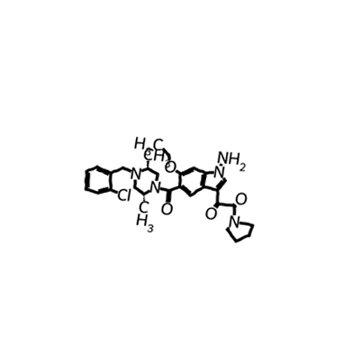 CCOc1cc2c(cc1C(=O)N1C[C@H](C)N(Cc3ccccc3Cl)C[C@H]1C)c(C(=O)C(=O)N1CCCC1)cn2N